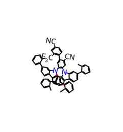 Cc1ccccc1-c1ccc2c3ccc(-c4ccccc4C)cc3n(-c3cc(C#N)c(-c4ccc(C#N)cc4C(F)(F)F)cc3-n3c4cc(-c5ccccc5C)ccc4c4ccc(-c5ccccc5C)cc43)c2c1